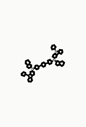 c1ccc(C2c3ccccc3-c3ccc(N(c4ccc(-c5ccc(-c6ccc(N(c7ccc8ccccc8c7)c7ccc8c(c7)c7ccccc7n8-c7ccccc7)cc6)cc5)cc4)c4ccc5ccccc5c4)cc32)cc1